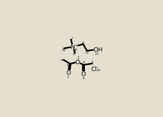 CC(=O)OC(C)=O.C[N+](C)(C)CCO.[Cl-]